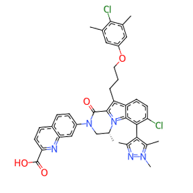 Cc1cc(OCCCc2c3n(c4c(-c5c(C)nn(C)c5C)c(Cl)ccc24)[C@H](C)CN(c2ccc4ccc(C(=O)O)nc4c2)C3=O)cc(C)c1Cl